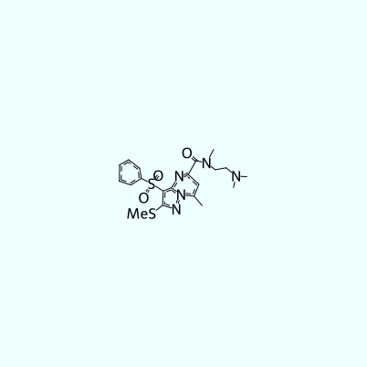 CSc1nn2c(C)cc(C(=O)N(C)CCN(C)C)nc2c1S(=O)(=O)c1ccccc1